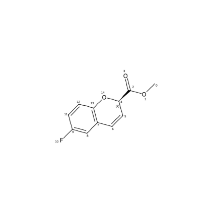 COC(=O)[C@H]1C=Cc2cc(F)ccc2O1